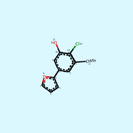 COc1cc(-c2ccco2)cc(O)c1Cl